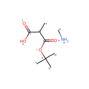 CC(C(=O)O)C(=O)OC(C)(C)C.CN